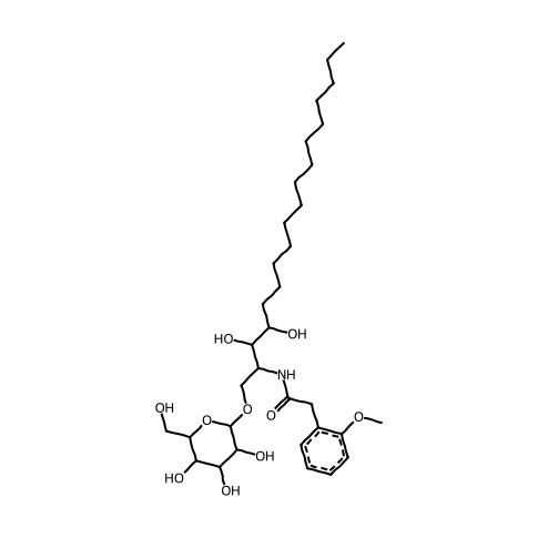 CCCCCCCCCCCCCCC(O)C(O)C(COC1OC(CO)C(O)C(O)C1O)NC(=O)Cc1ccccc1OC